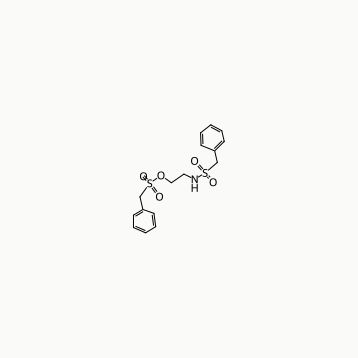 O=S(=O)(Cc1ccccc1)NCCOS(=O)(=O)Cc1ccccc1